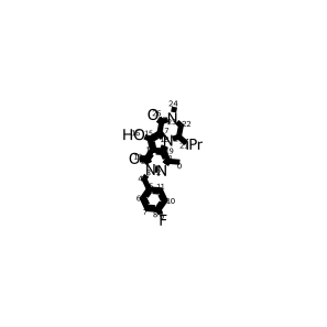 Cc1nn(Cc2ccc(F)cc2)c(=O)c2c(O)c3n(c12)C(C(C)C)CN(C)C3=O